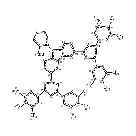 CC(C)(C)c1ccccc1-n1c2ccc(-c3cc(-c4cc(C(F)(F)F)c(C(F)(F)F)c(C(F)(F)F)c4)cc(-c4cc(C(F)(F)F)c(C(F)(F)F)c(C(F)(F)F)c4)c3)cc2c2cc(-c3cc(-c4cc(C(F)(F)F)c(C(F)(F)F)c(C(F)(F)F)c4)cc(-c4cc(C(F)(F)F)c(C(F)(F)F)c(C(F)(F)F)c4)c3)ccc21